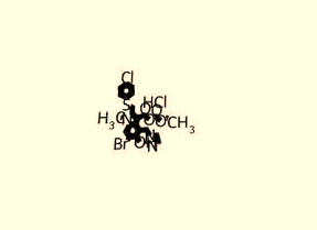 CCOC(=O)OC(=O)c1c(CSc2ccc(Cl)cc2)n(C)c2cc(Br)c(O)c(Cn3ccnc3)c12.Cl